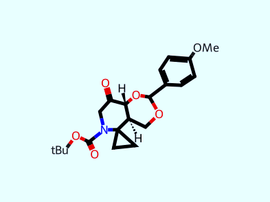 COc1ccc(C2OC[C@@H]3[C@@H](O2)C(=O)CN(C(=O)OC(C)(C)C)C32CC2)cc1